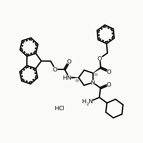 Cl.NC(C(=O)N1C[C@@H](NC(=O)OCC2c3ccccc3-c3ccccc32)C[C@H]1C(=O)OCc1ccccc1)C1CCCCC1